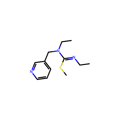 CCN=C(SC)N(CC)Cc1cccnc1